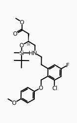 COC(=O)C[C@@H](CNCCc1cc(F)cc(Cl)c1COc1ccc(OC)cc1)O[Si](C)(C)C(C)(C)C